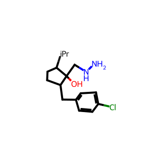 CC(C)C1CCC(Cc2ccc(Cl)cc2)C1(O)CNN